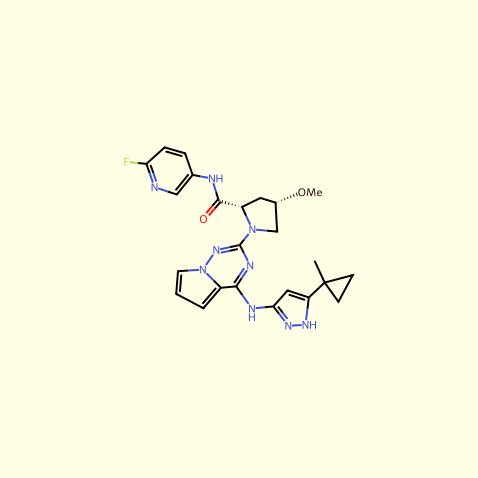 CO[C@H]1C[C@@H](C(=O)Nc2ccc(F)nc2)N(c2nc(Nc3cc(C4(C)CC4)[nH]n3)c3cccn3n2)C1